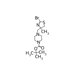 CC1(CN2CCN(C(=O)OC(C)(C)C)CC2)CSC(Br)=N1